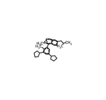 Cc1c(-c2c3ccc(CC(C)C)cc3cc[n+]2C)cc(C2CCCC2)cc1C1CCCC1